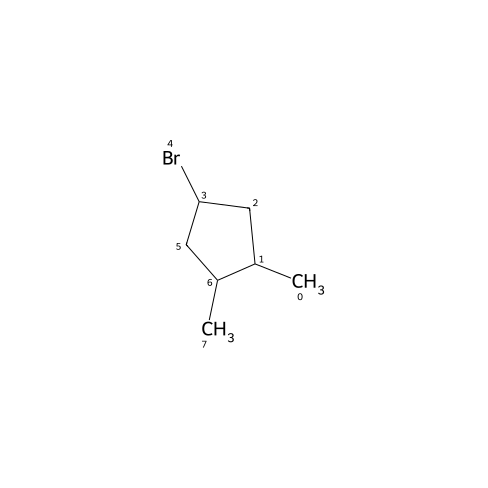 CC1CC(Br)CC1C